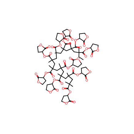 CCC(C)(CC(C)(CC(C)(CC(C)(CC(C)(CC(C)(CC(C)(CC(C)(CC(C)(CC(C)(C)C(=O)OC1CCOC1=O)C(=O)OC1CCOC1=O)C(=O)OC1CCOC1=O)C(=O)OC1CCOC1=O)C(=O)OC1CCOC1=O)C(=O)OC1CCOC1=O)C(=O)OC1CCOC1=O)C(=O)OC1CCOC1=O)C(=O)OC1CCOC1=O)C(=O)OC1CCOC1=O